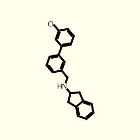 Clc1cccc(-c2cccc(CNC3Cc4ccccc4C3)c2)c1